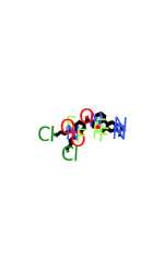 Cn1cnc2cc(-c3cccn4c(C(=O)c5cc(F)c(N(C(=O)/C=C/CCl)C(=O)/C=C/CCl)c(F)c5)ccc34)c(C(F)(F)F)cc21